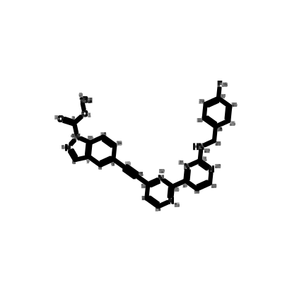 CC(C)(C)OC(=O)n1ncc2cc(C#Cc3ccnc(-c4ccnc(NCc5ccc(F)cc5)n4)n3)ccc21